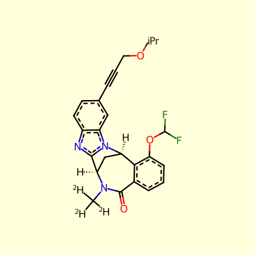 [2H]C([2H])([2H])N1C(=O)c2cccc(OC(F)F)c2[C@H]2C[C@@H]1c1nc3ccc(C#CCOC(C)C)cc3n12